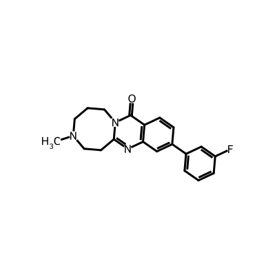 CN1CCCn2c(nc3cc(-c4cccc(F)c4)ccc3c2=O)CC1